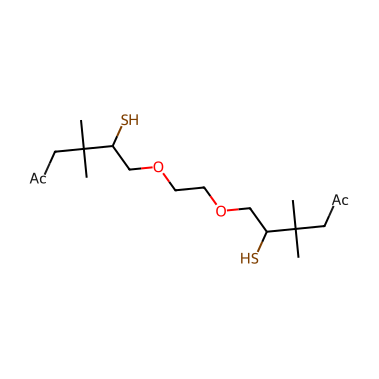 CC(=O)CC(C)(C)C(S)COCCOCC(S)C(C)(C)CC(C)=O